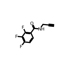 C#CCNC(=O)c1ccc(F)c(F)c1F